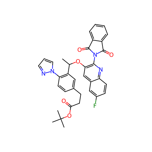 CC(Oc1cc2cc(F)ccc2nc1N1C(=O)c2ccccc2C1=O)c1cc(CCC(=O)OC(C)(C)C)ccc1-n1cccn1